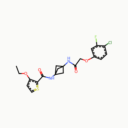 CCOc1ccsc1C(=O)NC12CC(NC(=O)COc3ccc(Cl)c(F)c3)(C1)C2